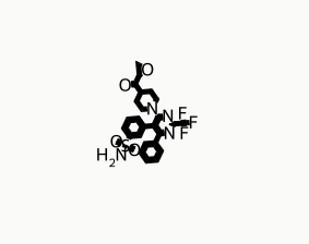 NS(=O)(=O)c1cccc(-c2c(-c3ccccc3)nc(C(F)(F)F)nc2N2CCC(C(=O)C3CO3)CC2)c1